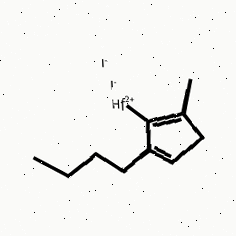 CCCCC1=CCC(C)=[C]1[Hf+2].[I-].[I-]